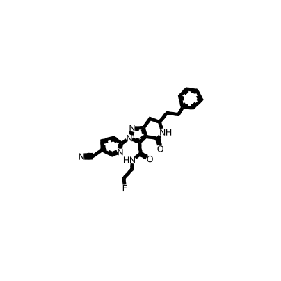 N#Cc1ccc(-n2nc3c(c2C(=O)NCCF)C(=O)NC(CCc2ccccc2)C3)nc1